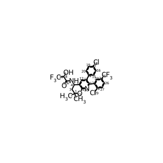 CC1(C)CC(NC(=O)C(O)C(F)(F)F)c2cc(-c3ccc(Cl)cc3)c(-c3cc(C(F)(F)F)ccc3Cl)nc2O1